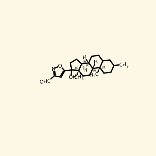 CC1CC[C@@]2(C)C(CC[C@@H]3[C@H]2CC[C@@]2(C)[C@H]3CCC2(O)c2cc(C=O)no2)C1